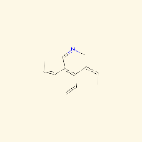 C=CC(/C=C\C)=C(\C=C/C)/C=N\C